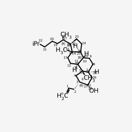 C=CC[C@@H]1C[C@@]2(C)[C@@H](CC[C@@H]3[C@@H]2CC[C@]2(C)[C@@H]([C@H](C)CCCC(C)C)CC[C@@H]32)C[C@@H]1O